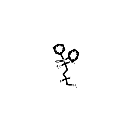 CC(C)(CCC(F)(F)CN)[Si](O)(c1ccccc1)c1ccccc1